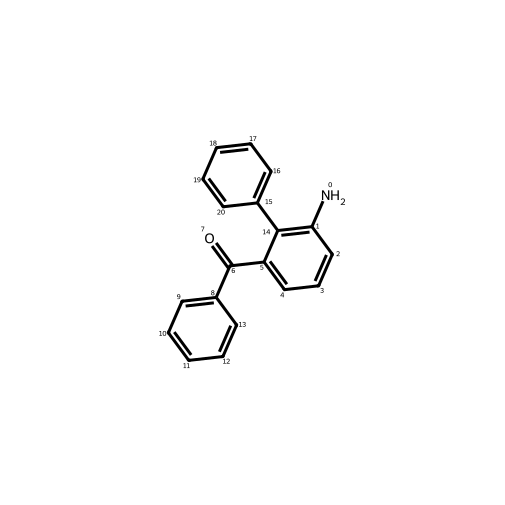 Nc1cccc(C(=O)c2ccccc2)c1-c1ccccc1